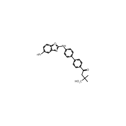 CCCc1ccc2oc(Nc3ccc(-c4ccc(C(=O)CC(C)(C)C(=O)O)cc4)cc3)nc2c1